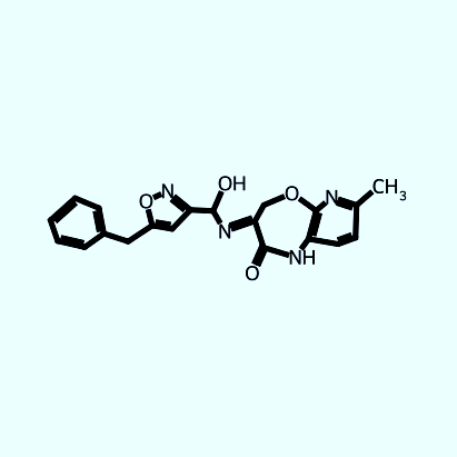 Cc1ccc2c(n1)OC/C(=N\C(O)c1cc(Cc3ccccc3)on1)C(=O)N2